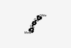 CON1C(C)(C)CC(OC(=O)c2ccc(C(=O)OC3CC(C)(C)N(OC)C(C)(C)C3)cc2)CC1(C)C